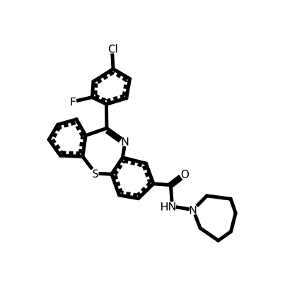 O=C(NN1CCCCCC1)c1ccc2c(c1)N=C(c1ccc(Cl)cc1F)c1ccccc1S2